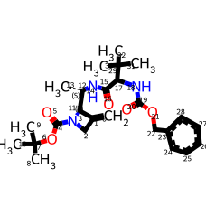 C=C1CN(C(=O)OC(C)(C)C)[C@H]1[C@H](C)NC(=O)C(NC(=O)OCc1ccccc1)C(C)(C)C